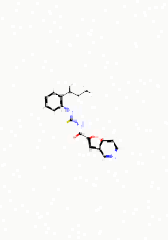 CCCC(C)c1ccccc1NC(=S)NC(=O)c1cc2cnccc2o1